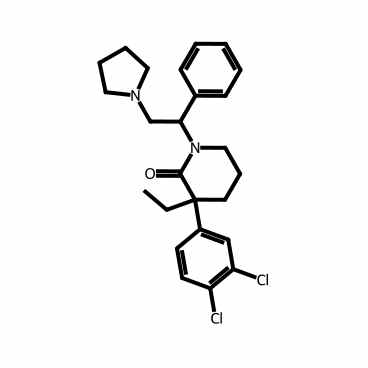 CCC1(c2ccc(Cl)c(Cl)c2)CCCN(C(CN2CCCC2)c2ccccc2)C1=O